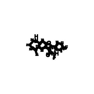 CNC(=O)c1c(-c2ccc(F)cc2)oc2cc3c(cc12)C(C)=CCCN3